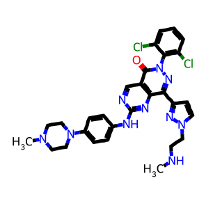 CNCCn1ccc(-c2nn(-c3c(Cl)cccc3Cl)c(=O)c3cnc(Nc4ccc(N5CCN(C)CC5)cc4)nc23)n1